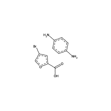 Nc1ccc(N)cc1.O=C(O)c1cc(Br)co1